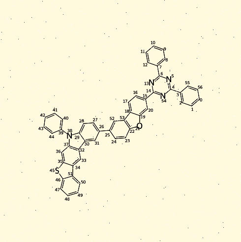 c1ccc(-c2nc(-c3ccccc3)nc(-c3ccc4c(c3)oc3ccc(-c5ccc6c(c5)c5cc7c(cc5n6-c5ccccc5)sc5ccccc57)cc34)n2)cc1